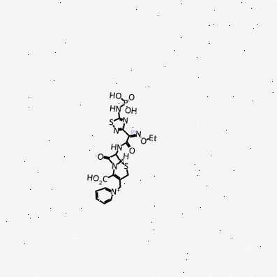 CCO/N=C(\C(=O)NC1C(=O)N2C(C(=O)O)=C(C[n+]3ccccc3)CS[C@H]12)c1nsc(NP(=O)(O)O)n1